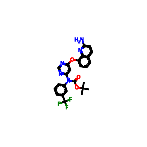 CC(C)(C)OC(=O)N(c1cccc(C(F)(F)F)c1)c1cc(Oc2cccc3ccc(N)nc23)ncn1